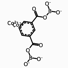 O=C(OB([O-])[O-])c1cccc(C(=O)OB([O-])[O-])c1.[Co+2].[Co+2]